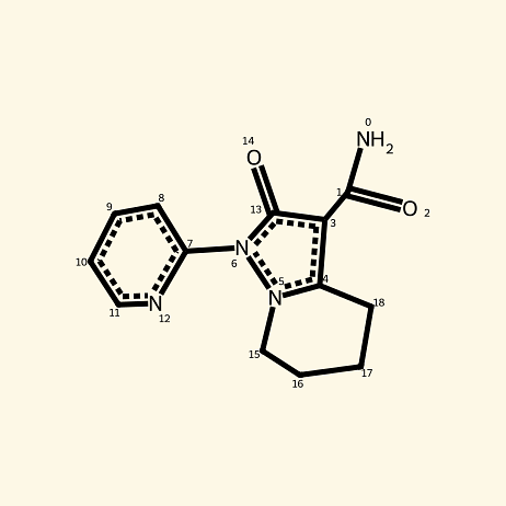 NC(=O)c1c2n(n(-c3ccccn3)c1=O)CCCC2